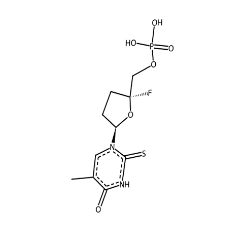 Cc1cn([C@H]2CC[C@@](F)(COP(=O)(O)O)O2)c(=S)[nH]c1=O